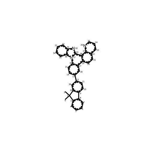 CC1(C)c2ccccc2-c2ccc(-c3ccc4c(c3)c3ccc5cccnc5c3c3nc5ccccc5n43)cc21